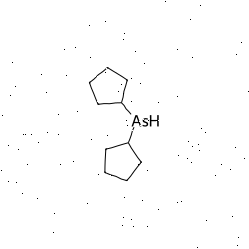 C1CCC([AsH]C2CCCC2)C1